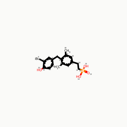 CCC(C)c1cc(Cc2c(C)cc(CCP(=O)(O)O)cc2C)ccc1O